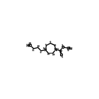 CC(C)(C)OC(=O)N1CCCN(CCCO)CC1